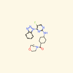 O=C(C1CCC(Nc2ncc(F)c(-n3nnc4ccccc43)n2)CC1)N1CCOCC1